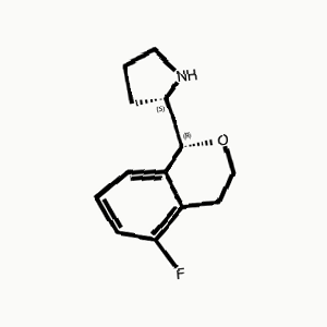 Fc1cccc2c1CCO[C@H]2[C@@H]1CCCN1